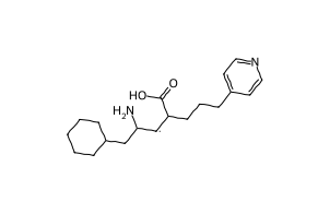 NC([CH]C(CCCc1ccncc1)C(=O)O)CC1CCCCC1